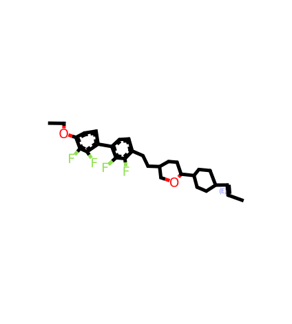 C/C=C/C1CCC(C2CCC(CCc3ccc(-c4ccc(OCC)c(F)c4F)c(F)c3F)CO2)CC1